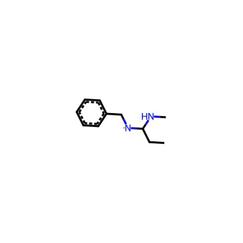 CCC([N]Cc1ccccc1)NC